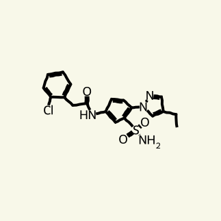 CCc1cnn(-c2ccc(NC(=O)Cc3ccccc3Cl)cc2S(N)(=O)=O)c1